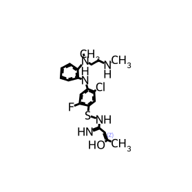 CNCCN(C)c1ccccc1Nc1cc(F)c(SNC(=N)/C=C(/C)O)cc1Cl